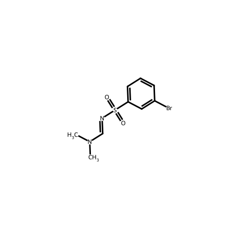 CN(C)C=NS(=O)(=O)c1cccc(Br)c1